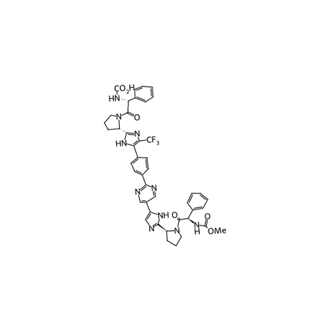 COC(=O)N[C@@H](C(=O)N1CCC[C@H]1c1ncc(-c2cnc(-c3ccc(-c4[nH]c([C@@H]5CCCN5C(=O)[C@H](NC(=O)O)c5ccccc5)nc4C(F)(F)F)cc3)nc2)[nH]1)c1ccccc1